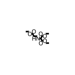 CCOC(=O)CCNC(C(=O)OCC)C(=O)OCC